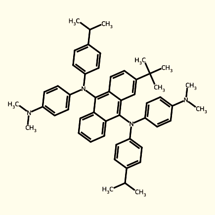 CC(C)c1ccc(N(c2ccc(N(C)C)cc2)c2c3ccccc3c(N(c3ccc(C(C)C)cc3)c3ccc(N(C)C)cc3)c3cc(C(C)(C)C)ccc23)cc1